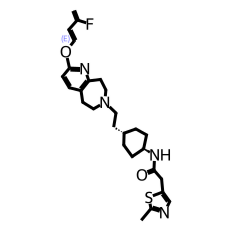 C=C(F)/C=C/Oc1ccc2c(n1)CCN(CC[C@H]1CC[C@H](NC(=O)Cc3cnc(C)s3)CC1)CC2